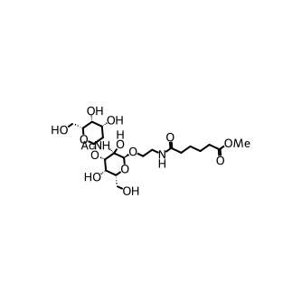 COC(=O)CCCCC(=O)NCCO[C@H]1O[C@H](CO)[C@H](O)[C@H](O[C@H]2C[C@@H](O)[C@@H](O)[C@@H](CO)O2)[C@]1(O)NC(C)=O